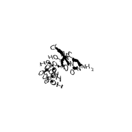 Cc1cc(N)nc(=O)n1[C@@H]1O[C@H](COP(=O)(O)OP(=O)(O)OP(=O)(O)O)[C@H](O)C1(F)C#CCl